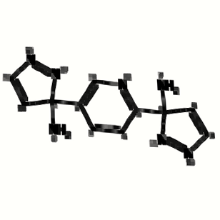 NC1(c2ccc(C3(N)C=CN=N3)nc2)C=CN=N1